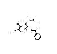 COC1=C(C(=O)O)N2C(=O)[C@@H](NC(=O)[C@H](N)C3=CCC=CC3)[C@H]2SC1.NCC(=O)O